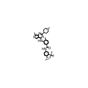 COc1ccc(NC(=O)c2ccc(C)c(Nc3nc(C4CCN(C)CC4)nc4c3cnn4C)c2)cc1C(F)(F)F